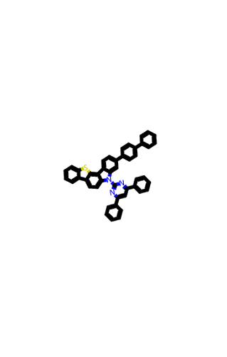 c1ccc(-c2ccc(-c3ccc4c5c6sc7ccccc7c6ccc5n(-c5nc(-c6ccccc6)cc(-c6ccccc6)n5)c4c3)cc2)cc1